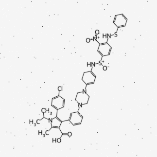 Cc1c(C(=O)O)c(-c2cccc(N3CCN(C4=CC=C(N[S+]([O-])c5ccc(NSc6ccccc6)c([N+](=O)[O-])c5)CC4)CC3)c2)c(-c2ccc(Cl)cc2)n1C(C)C